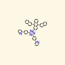 c1ccc(-c2ccc(-c3nc(-c4ccc(-c5ccccn5)cc4)nc(-c4ccc5c(-c6ccc7ccccc7c6)c6ccccc6c(-c6ccc7ccccc7c6)c5c4)n3)cc2)nc1